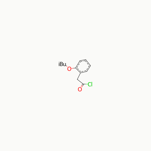 CCC(C)Oc1ccccc1CC(=O)Cl